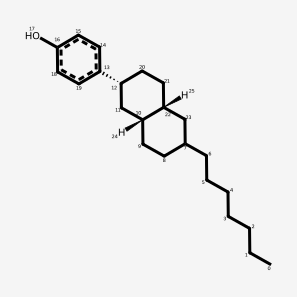 CCCCCCCC1CC[C@@H]2C[C@H](c3ccc(O)cc3)CC[C@@H]2C1